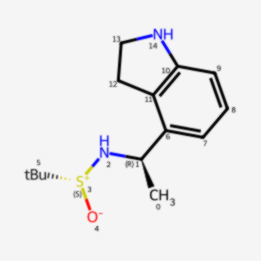 C[C@@H](N[S@+]([O-])C(C)(C)C)c1cccc2c1CCN2